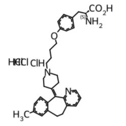 Cc1ccc2c(c1)CCc1cccnc1C2=C1CCN(CCCCOc2ccc(C[C@H](N)C(=O)O)cc2)CC1.Cl.Cl.Cl